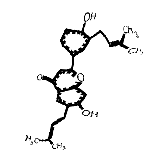 CC(C)=CCc1cc(-c2cc(=O)c3cc(CC=C(C)C)c(O)cc3o2)ccc1O